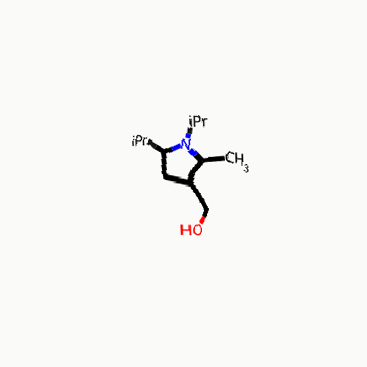 CC(C)C1CC(CO)C(C)N1C(C)C